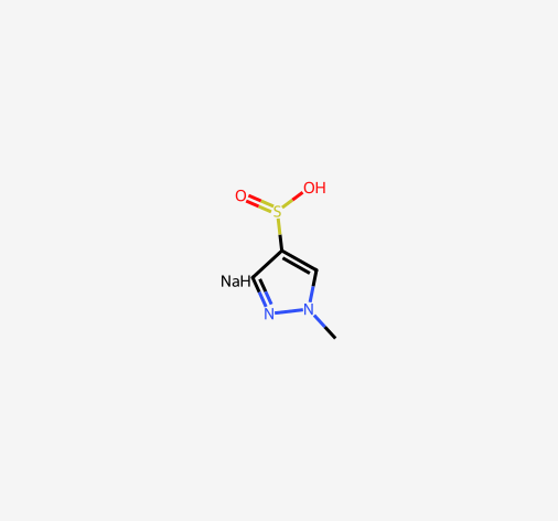 Cn1cc(S(=O)O)cn1.[NaH]